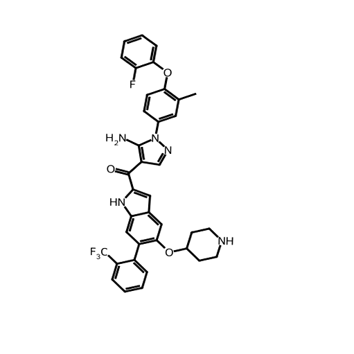 Cc1cc(-n2ncc(C(=O)c3cc4cc(OC5CCNCC5)c(-c5ccccc5C(F)(F)F)cc4[nH]3)c2N)ccc1Oc1ccccc1F